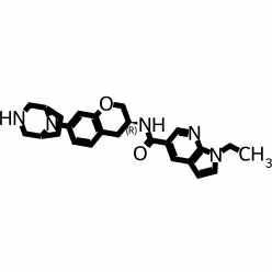 CCn1ccc2cc(C(=O)N[C@H]3COc4cc(N5C6CCC5CNC6)ccc4C3)cnc21